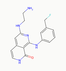 NCCNc1cc2cc[nH]c(=O)c2c(Nc2cccc(CF)c2)n1